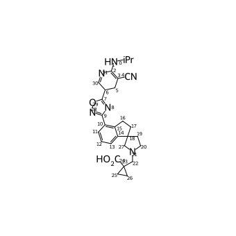 CC(C)NC1=C(C#N)CC(c2nc(-c3cccc4c3CCC43CCN(CC4(C(=O)O)CC4)C3)no2)C=N1